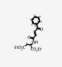 CCOC(=O)C[C@@H](NC(=O)C=CC(=O)c1ccccc1)C(=O)OCC